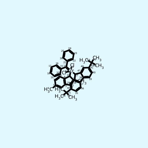 CC1=Cc2cc(C)ccc2[CH]1[Zr]([Cl])([Cl])(=[C](c1ccccc1)c1ccccc1)[CH]1c2cc(C(C)(C)C)ccc2-c2ccc(C(C)(C)C)cc21